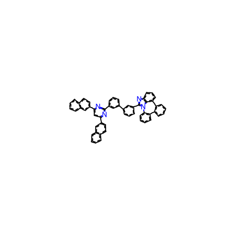 c1cc(-c2cccc(-c3nc4cccc5c4n3-c3ccccc3-c3ccccc3-5)c2)cc(-c2nc(-c3ccc4ccccc4c3)cc(-c3ccc4ccccc4c3)n2)c1